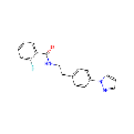 O=C(NCCc1ccc(-n2cccn2)cc1)c1ccccc1F